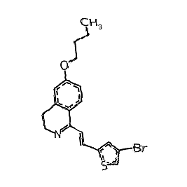 CCCCOc1ccc2c(c1)CCN=C2/C=C/c1cc(Br)cs1